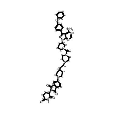 Nc1ncnc2c1c(-c1ccc(Oc3ccccc3)cc1)nn2C1CCCN(C(=O)N2CCN(CCC3CCN(c4ccc5c(c4)C(=O)N(C4CCC(=O)NC4=O)C5=O)CC3)CC2)C1